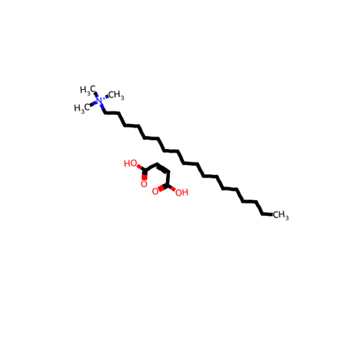 CCCCCCCCCCCCCCCCCC[N+](C)(C)C.O=C(O)/C=C\C(=O)O